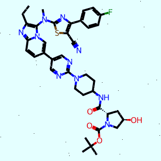 CCc1nc2ccc(-c3cnc(N4CCC(NC(=O)[C@@H]5C[C@@H](O)CN5C(=O)OC(C)(C)C)CC4)nc3)cn2c1N(C)c1nc(-c2ccc(F)cc2)c(C#N)s1